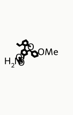 C=Cc1cccc2c1-c1ccc(CS(N)(=O)=O)cc1C(c1cccc(OC)c1)O2